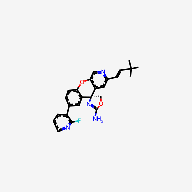 CC(C)(C)/C=C/c1cc2c(cn1)Oc1ccc(-c3cccnc3F)cc1[C@@]21COC(N)=N1